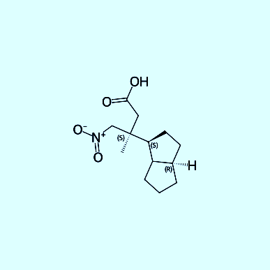 C[C@@](CC(=O)O)(C[N+](=O)[O-])[C@H]1CC[C@H]2CCCC21